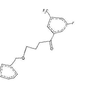 O=C(CCCOCc1ccccc1)c1cc(F)cc(C(F)(F)F)c1